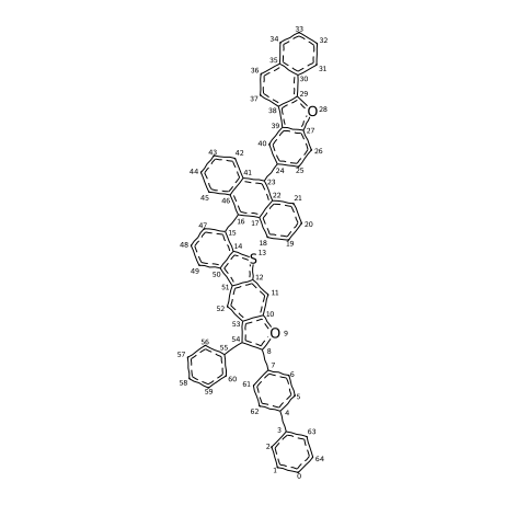 c1ccc(-c2ccc(-c3oc4cc5sc6c(-c7c8ccccc8c(-c8ccc9oc%10c%11ccccc%11ccc%10c9c8)c8ccccc78)cccc6c5cc4c3-c3ccccc3)cc2)cc1